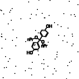 CCCOC(OCCC)(c1ccc(O)cc1)c1ccc(O)cc1